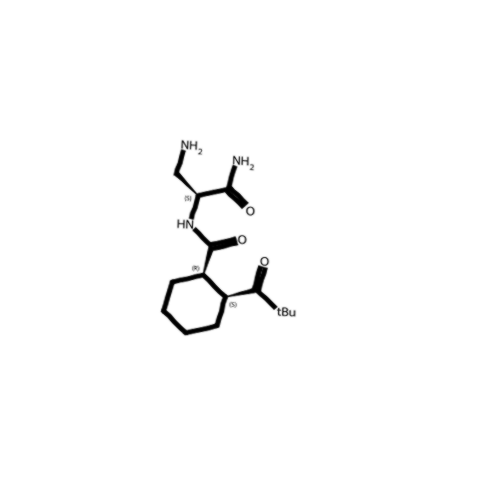 CC(C)(C)C(=O)[C@H]1CCCC[C@H]1C(=O)N[C@@H](CN)C(N)=O